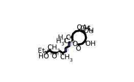 CC[C@H](O)[C@@H](C)[C@H]1O[C@@H]1C[C@H](C)/C=C/C=C(\C)[C@H]1OC(=O)C[C@H](O)CC[C@@](C)(O)[C@@H](OC(C)=O)CC[C@@H]1C